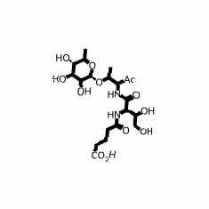 CC(=O)C(NC(=O)C(NC(=O)CCCC(=O)O)C(O)CO)C(C)O[C@@H]1OC(C)[C@@H](O)C(O)C1O